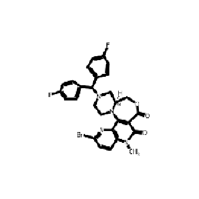 Cn1c(=O)c2c(c3nc(Br)ccc31)N1CCN(C(c3ccc(F)cc3)c3ccc(F)cc3)C[C@H]1COC2=O